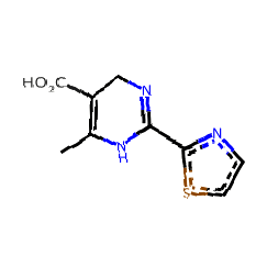 CC1=C(C(=O)O)CN=C(c2nccs2)N1